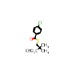 CCOC(=O)C(C)(C)CSC(=O)c1ccc(Cl)cc1